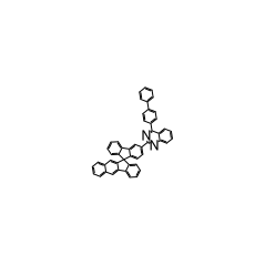 c1ccc(-c2ccc(-c3nc(-c4ccc5c(c4)-c4ccccc4C54c5ccccc5-c5cc6ccccc6cc54)nc4ccccc34)cc2)cc1